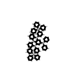 c1ccc(N(c2ccccc2)c2cc3c4c(c2)N(c2cccc([Si](c5ccccc5)(c5ccccc5)c5ccccc5)c2)c2ccccc2B4c2ccccc2N3c2cccc([Si](c3ccccc3)(c3ccccc3)c3ccccc3)c2)cc1